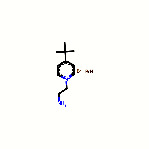 Br.Br.CC(C)(C)c1cc[n+](CCN)cc1